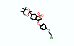 CC1COC(C)(c2ccc3c(c2)S(=O)(=O)C=C3Oc2ccc(OCCBr)cc2)OC1(C)C